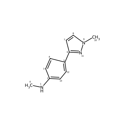 CNc1ccc(-c2ccn(C)n2)cc1